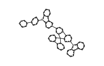 c1ccc(-c2ccc(-n3c4ccccc4c4cc(-c5ccc6c(c5)C5(c7ccccc7-c7ccccc75)c5cc(-n7c8ccccc8c8ccccc87)ccc5-6)ccc43)cc2)cc1